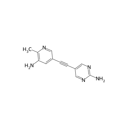 Cc1ncc(C#Cc2cnc(N)nc2)cc1N